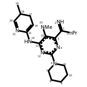 CCCC(=N)c1nc(N2CCCCC2)nc(NC2=CCC(C)C=N2)c1NC